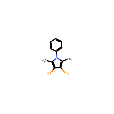 Cc1c(P)c(P)c(C)n1-c1ccccc1